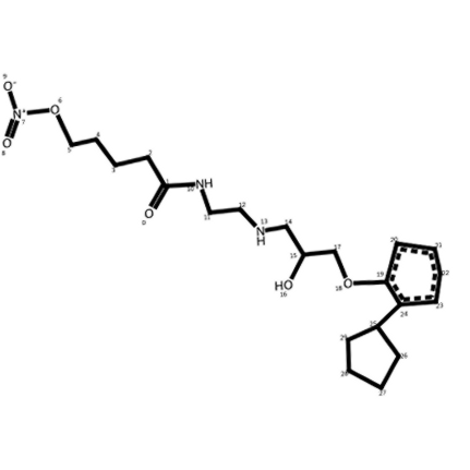 O=C(CCCCO[N+](=O)[O-])NCCNCC(O)COc1ccccc1C1CCCC1